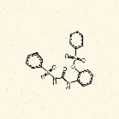 O=C(Nc1ccccc1OS(=O)(=O)c1ccccc1)NS(=O)(=O)c1ccccc1